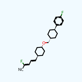 N#CC(F)=CC=C[C@H]1CC[C@H](OC[C@H]2CC[C@H](c3ccc(F)cc3)CC2)CC1